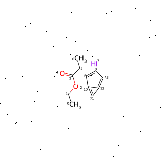 CCOC(=O)CC.I.c1cc2cc-2c1